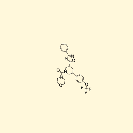 O=C(N1CCOCC1)N1CC(c2ccc(OC(F)(F)F)cc2)CC(c2nc(-c3ccccc3)no2)C1